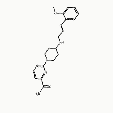 COc1ccccc1OCCNC1CCN(c2nccc(C(N)=O)n2)CC1